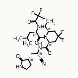 CC[C@H]1CC(F)(F)C[C@@H](C(=O)N[C@H](C#N)C[C@@H]2CCNC2=O)N1C(=O)[C@@H](CC(C)C)NC(=O)C(F)(F)F